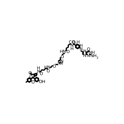 Cc1ccc2c(c1)Oc1cc(O)ccc1C21OC(=O)c2cc(NC(=O)CCCC(=O)NCCOCCn3cc(COCCNC(=O)CCCC(NC(=O)c4ccc(NCc5cnc6nc(N)[nH]c(=O)c6n5)cc4)C(=O)O)nn3)ccc21